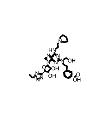 CCn1nnc([C@H]2O[C@@H](n3cnc4c(NCCN5CCCCC5)nc(N(CO)CCc5ccccc5)nc43)[C@H](O)[C@@H]2O)n1.O=CO